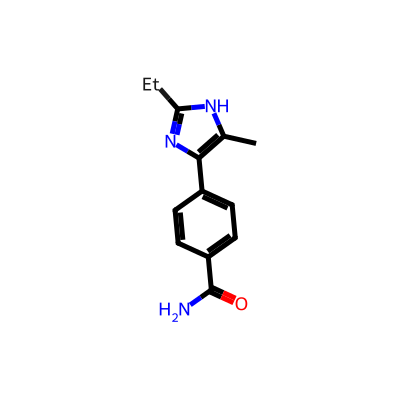 CCc1nc(-c2ccc(C(N)=O)cc2)c(C)[nH]1